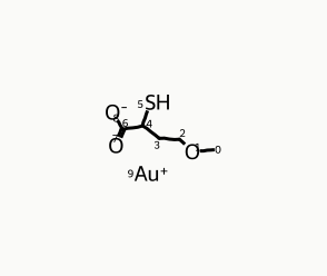 COCCC(S)C(=O)[O-].[Au+]